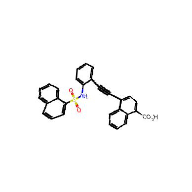 O=C(O)c1ccc(C#Cc2ccccc2NS(=O)(=O)c2cccc3ccccc23)c2ccccc12